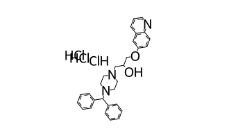 Cl.Cl.Cl.OC(COc1ccc2ncccc2c1)CN1CCN(C(c2ccccc2)c2ccccc2)CC1